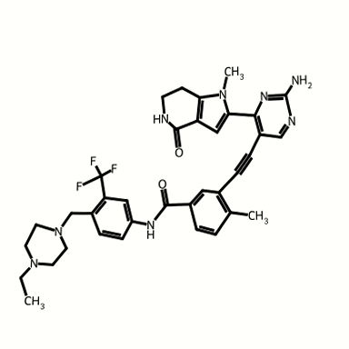 CCN1CCN(Cc2ccc(NC(=O)c3ccc(C)c(C#Cc4cnc(N)nc4-c4cc5c(n4C)CCNC5=O)c3)cc2C(F)(F)F)CC1